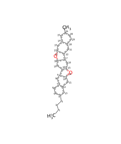 CCCCc1ccc2cc3c(cc2c1)oc1cc2c(cc13)oc1cc3cc(C)ccc3cc12